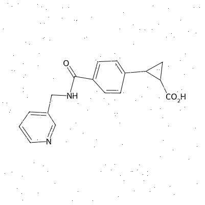 O=C(NCc1cccnc1)c1ccc(C2CC2C(=O)O)cc1